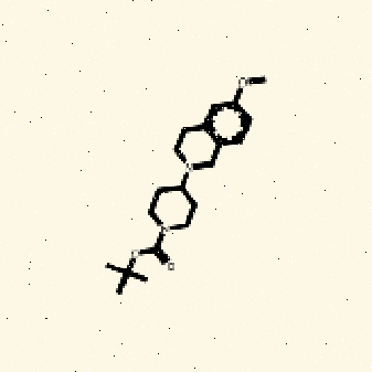 COc1ccc2c(c1)CCN(C1CCN(C(=O)OC(C)(C)C)CC1)C2